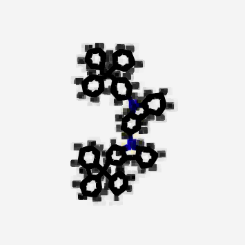 c1ccc(C2(c3ccc4c(c3)c3ccccc3n4-c3ccc4c(c3)c3ccccc3n4-c3ccc([Si](c4ccccc4)(c4ccccc4)c4ccccc4)cc3)c3ccccc3-c3ccccc32)cc1